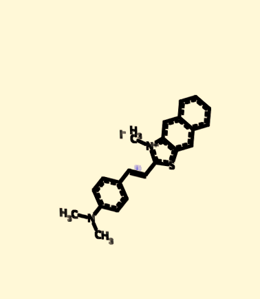 CN(C)c1ccc(/C=C/c2sc3cc4ccccc4cc3[n+]2C)cc1.[I-]